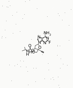 C#CC1(CO)OC(n2cnc3c(N)nc(F)nc32)CC1OC(=O)NC(C)C